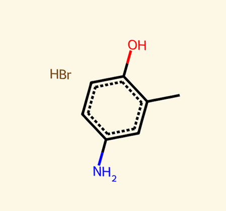 Br.Cc1cc(N)ccc1O